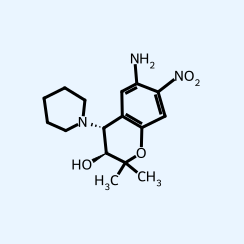 CC1(C)Oc2cc([N+](=O)[O-])c(N)cc2[C@@H](N2CCCCC2)[C@@H]1O